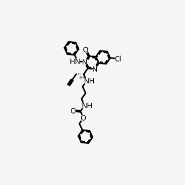 C#CC[C@@H](NCCCNC(=O)OCc1ccccc1)c1nc2cc(Cl)ccc2c(=O)n1Nc1ccccc1